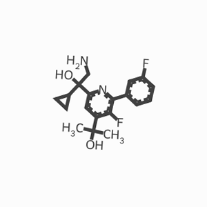 CC(C)(O)c1cc(C(O)(CN)C2CC2)nc(-c2cccc(F)c2)c1F